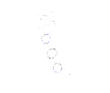 CN(c1cnc(-c2ccc(-c3cnnc(OC(S)(S)S)c3)cc2O)nn1)[C@@H]1C[C@@]2(C)CCC[C@](C)(C2)[C@@H]1F